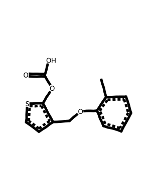 Cc1ccccc1OCc1ccsc1OC(=O)O